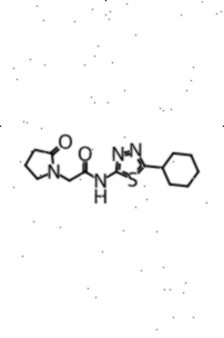 O=C(CN1CCCC1=O)Nc1nnc(C2CCCCC2)s1